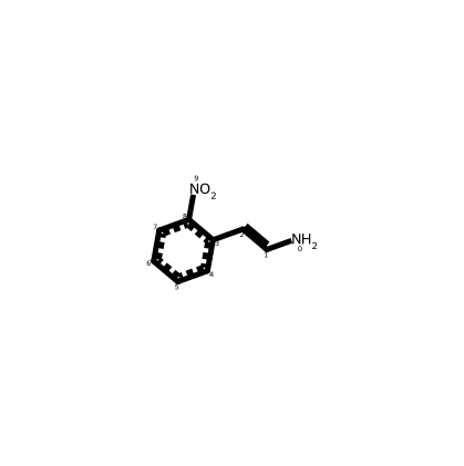 NC=Cc1ccccc1[N+](=O)[O-]